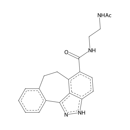 CC(=O)NCCNC(=O)c1ccc2[nH]nc3c2c1CCc1ccccc1-3